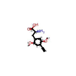 C#Cc1cc(OC)c(C[C@H](N)C(=O)O)cc1OC